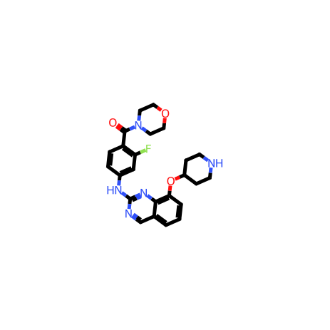 O=C(c1ccc(Nc2ncc3cccc(OC4CCNCC4)c3n2)cc1F)N1CCOCC1